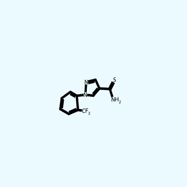 NC(=S)c1cnn(-c2ccccc2C(F)(F)F)c1